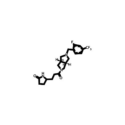 O=C1CCC(CCC(=O)N2C[C@@H]3CN(Cc4ccc(C(F)(F)F)cc4F)C[C@H]3C2)N1